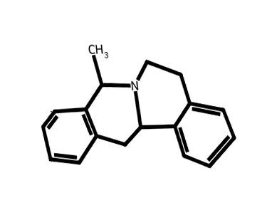 CC1c2[c]cccc2CC2c3ccccc3CCN12